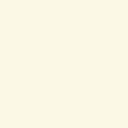 O=S1(=O)CCON=C1c1nc2ccccc2s1